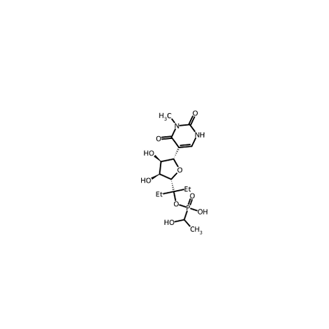 CCC(CC)(OP(=O)(O)C(C)O)[C@H]1O[C@@H](c2c[nH]c(=O)n(C)c2=O)[C@H](O)[C@@H]1O